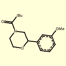 COc1cccc(C2CN(C(=O)C(C)(C)C)CCO2)c1